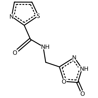 O=C(NCc1n[nH]c(=O)o1)c1nccs1